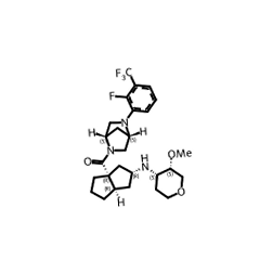 CO[C@@H]1COCC[C@@H]1N[C@@H]1C[C@H]2CCC[C@@]2(C(=O)N2C[C@@H]3C[C@H]2CN3c2cccc(C(F)(F)F)c2F)C1